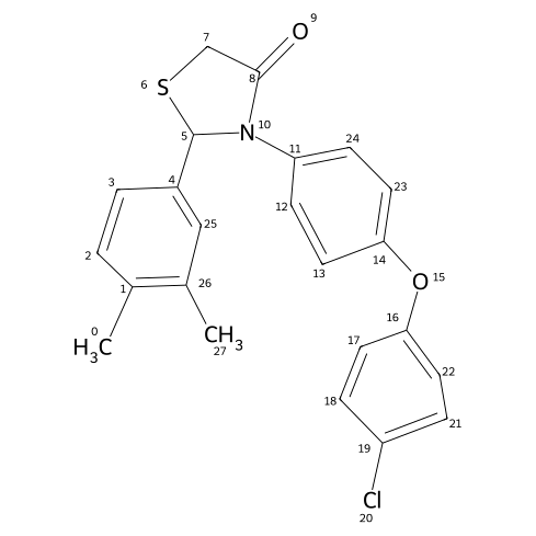 Cc1ccc(C2SCC(=O)N2c2ccc(Oc3ccc(Cl)cc3)cc2)cc1C